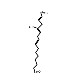 CCCCC/C=C/C/C(=C/C/C=C/CCCCCC[C]=O)[N+](=O)[O-]